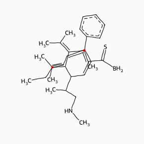 BC(=S)C(C)=CC(=C(C)C)/C(=C(\C)CC)C(\C=C/C(=C\C=C\C)c1ccccc1)C(C)CNC